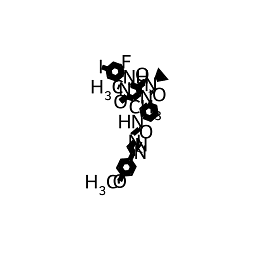 COc1ccc(-c2cn(CC(=O)Nc3cccc(-n4c(=O)n(C5CC5)c(=O)c5c(Nc6ccc(I)cc6F)n(C)c(=O)c(C)c54)c3)nn2)cc1